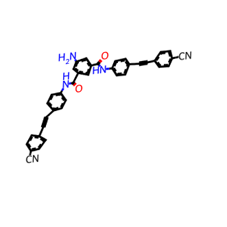 N#Cc1ccc(C#Cc2ccc(NC(=O)c3cc(N)cc(C(=O)Nc4ccc(C#Cc5ccc(C#N)cc5)cc4)c3)cc2)cc1